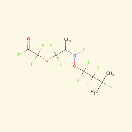 CC(C)(F)C(F)(F)C(F)(F)ON(F)C(C(F)(F)F)C(F)(F)OC(F)(F)C(=O)F